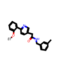 CCOc1ccccc1-c1ccc(CC(=O)NCc2cccc(C)c2)cn1